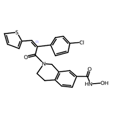 O=C(NO)c1ccc2c(c1)CN(C(=O)/C(=C\c1cccs1)c1ccc(Cl)cc1)CC2